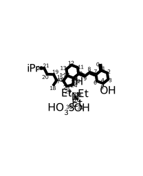 C=C1CC[C@H](O)C/C1=C\C=C1/CCC[C@]2(C)[C@@H](C(C)CCCC(C)C)CC[C@@H]12.CCN(CC)CC.O=S(=O)(O)O